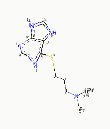 CC(C)N(CCCSc1ncnc2nc[nH]c12)C(C)C